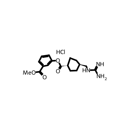 COC(=O)c1cccc(OC(=O)[C@H]2CC[C@H](CNC(=N)N)CC2)c1.Cl